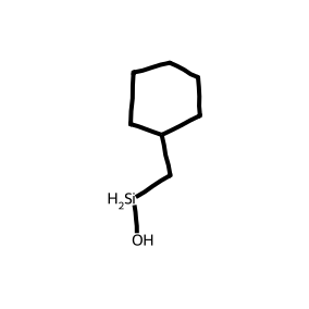 O[SiH2]CC1CCCCC1